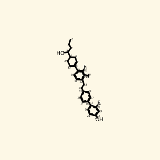 CCCC(O)C1CC=C(c2ccc(CCc3ccc(-c4ccc(O)cc4F)cc3)c(F)c2F)CC1